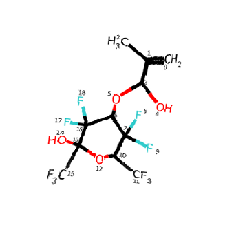 C=C(C)C(O)OC1C(F)(F)C(C(F)(F)F)OC(O)(C(F)(F)F)C1(F)F